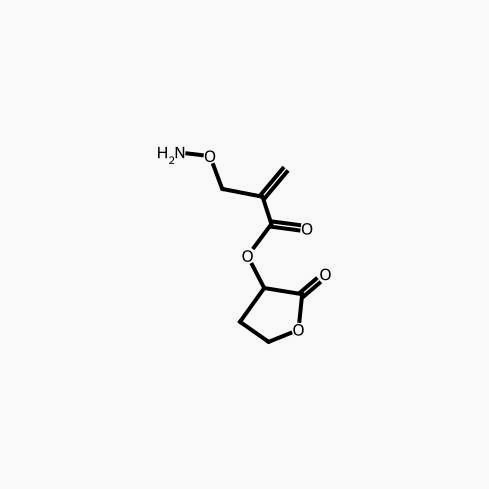 C=C(CON)C(=O)OC1CCOC1=O